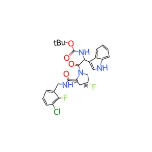 CC(C)(C)OC(=O)NC(C(=O)N1C[C@H](F)C[C@H]1C(=O)NCc1cccc(Cl)c1F)c1c[nH]c2ccccc12